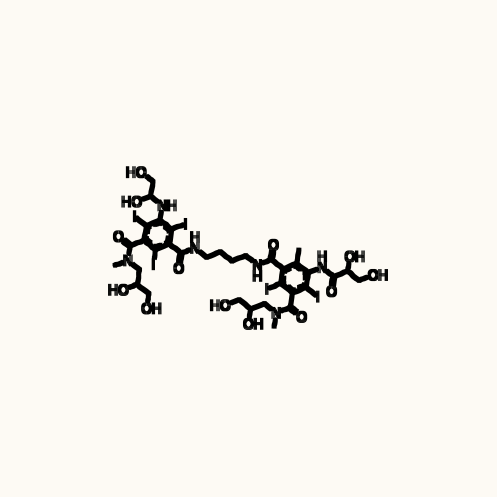 Cc1c(NC(=O)C(O)CO)c(I)c(C(=O)N(C)CC(O)CO)c(I)c1C(=O)NCCCCNC(=O)c1c(I)c(NC(O)CO)c(I)c(C(=O)N(C)CC(O)CO)c1I